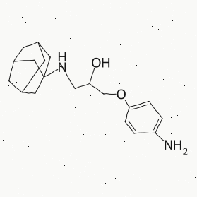 Nc1ccc(OCC(O)CNC23CC4CC(CC(C4)C2)C3)cc1